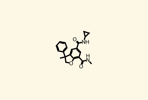 CNC(=O)c1cc(C(=O)NC2CC2)cc2c1OCC2(C)c1ccccc1